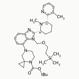 Cc1cccnc1[C@@H]1CCC[C@H](c2nc3cccc(N4CCN(C(=O)OC(C)(C)C)C5(CC5)C4)c3n2COCC[Si](C)(C)C)N1C